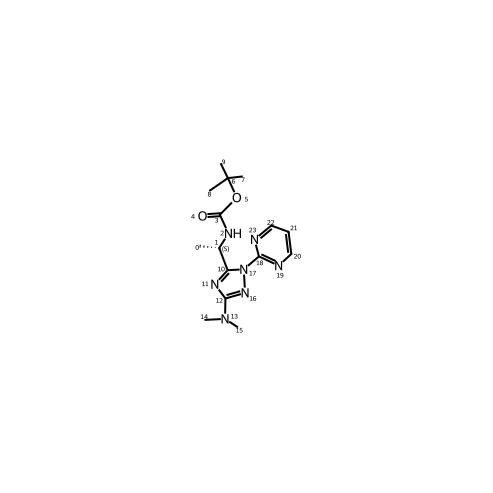 C[C@H](NC(=O)OC(C)(C)C)c1nc(N(C)C)nn1-c1ncccn1